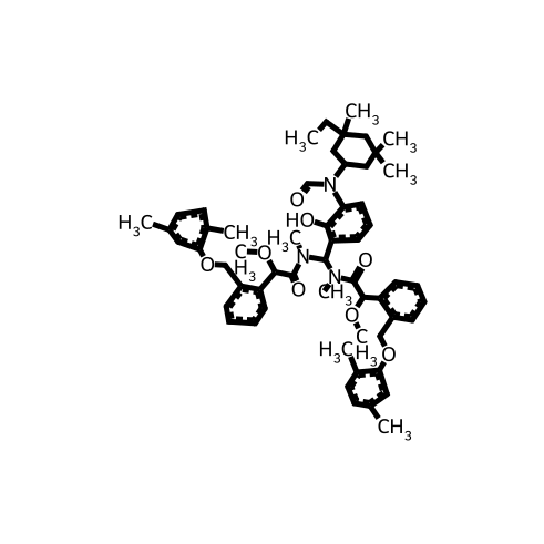 CCC1(C)CC(N(C=O)c2cccc(C(N(C)C(=O)C(OC)c3ccccc3COc3cc(C)ccc3C)N(C)C(=O)C(OC)c3ccccc3COc3cc(C)ccc3C)c2O)CC(C)(C)C1